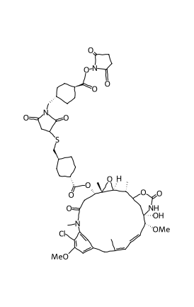 COc1cc2cc(c1Cl)N(C)C(=O)C[C@H](OC(=O)[C@H]1CC[C@H](CSC3CC(=O)N(C[C@H]4CC[C@H](C(=O)ON5C(=O)CCC5=O)CC4)C3=O)CC1)[C@]1(C)O[C@H]1[C@H](C)C1C[C@@](O)(NC(=O)O1)[C@H](OC)/C=C/C=C(\C)C2